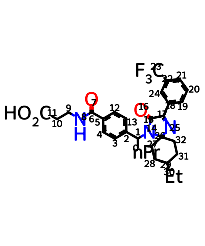 CCCC(c1ccc(C(=O)NCCC(=O)O)cc1)N1C(=O)C(c2cccc(C(F)(F)F)c2)=NC12CCC(CC)CC2